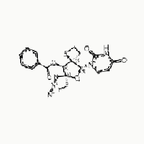 [N-]=[N+]=N[C@]1(CI)O[C@@H](n2ccc(=O)[nH]c2=O)[C@@]2(CCS2)[C@@H]1OC(=O)c1ccccc1